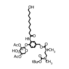 CC(=O)O[C@H]1[C@H](Oc2ccc(COC(=O)N(C)CCN(C)C(=O)OC(C)(C)C)cc2NC(=O)CCCCCCCCCO)OC[C@@H](OC(C)=O)[C@@H]1O